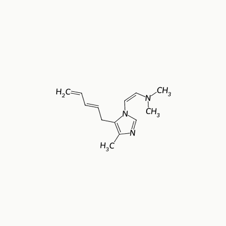 C=CC=CCc1c(C)ncn1/C=C\N(C)C